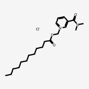 CCCCCCCCCCCC(=O)OC[n+]1cccc(C(=O)N(C)C)c1.[Cl-]